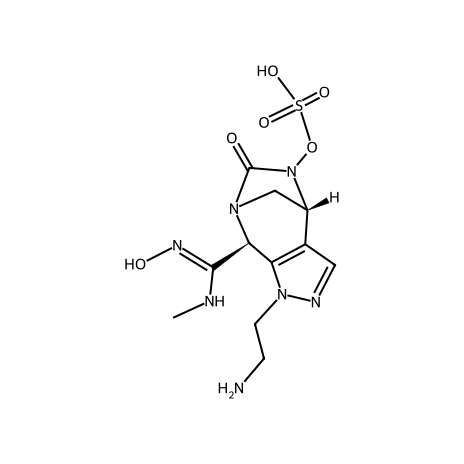 CN/C(=N\O)[C@@H]1c2c(cnn2CCN)[C@@H]2CN1C(=O)N2OS(=O)(=O)O